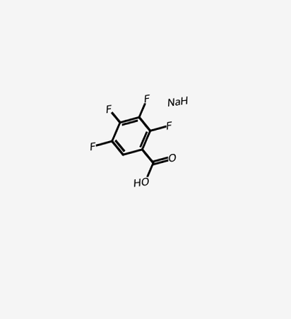 O=C(O)c1cc(F)c(F)c(F)c1F.[NaH]